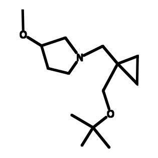 COC1CCN(CC2(COC(C)(C)C)CC2)C1